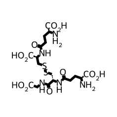 N[C@@H](CCC(=O)N[C@@H](CSSC[C@H](NC(=O)CC[C@H](N)C(=O)O)C(=O)NCC(=O)O)C(=O)O)C(=O)O